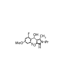 COc1cc(F)c(C(O)c2c(C)n(C(C)C)[nH]c2=O)c(F)c1